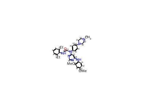 CCc1cccc(CC)c1NC1OC1N(c1ccc(N2CCN(C)CC2)cc1)c1cc(Nc2ccc(OC)cc2OC)ncn1